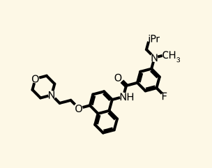 CC(C)CN(C)c1cc(F)cc(C(=O)Nc2ccc(OCCN3CCOCC3)c3ccccc23)c1